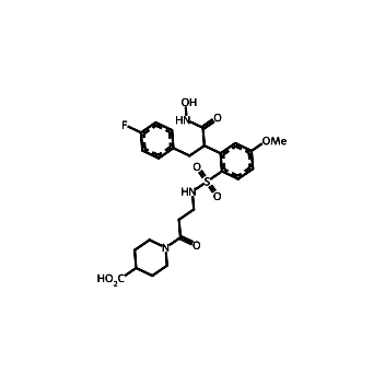 COc1ccc(S(=O)(=O)NCCC(=O)N2CCC(C(=O)O)CC2)c(C(Cc2ccc(F)cc2)C(=O)NO)c1